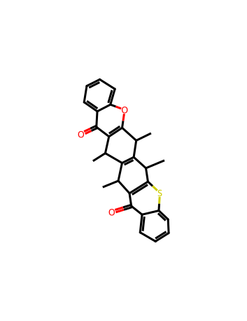 CC1C2=C(C(C)c3c1oc1ccccc1c3=O)C(C)c1c(sc3ccccc3c1=O)C2C